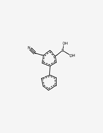 N#Cc1cc(B(O)O)cc(-c2ccccc2)c1